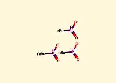 CCCC[PH](=O)[O-].CCCC[PH](=O)[O-].CCCC[PH](=O)[O-].[Fe+3]